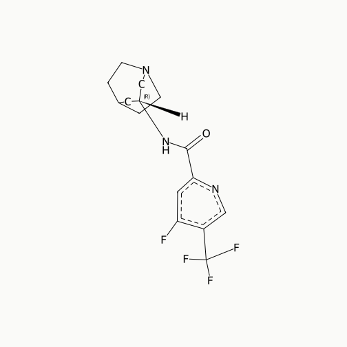 O=C(N[C@@H]1CC2CCN(CC2)C1)c1cc(F)c(C(F)(F)F)cn1